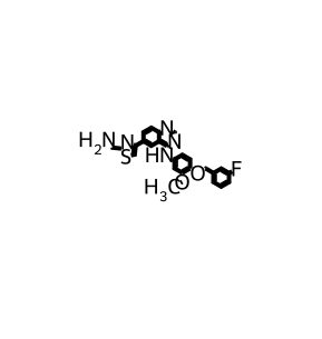 COc1cc(Nc2ncnc3ccc(-c4csc(CN)n4)cc23)ccc1OCc1cccc(F)c1